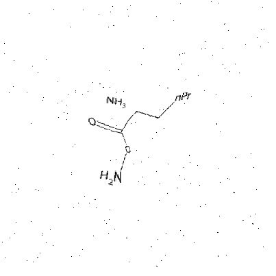 CCCCCC(=O)ON.N